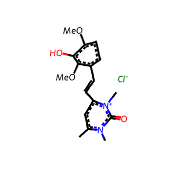 COc1ccc(C=Cc2cc(C)n(C)c(=O)[n+]2C)c(OC)c1O.[Cl-]